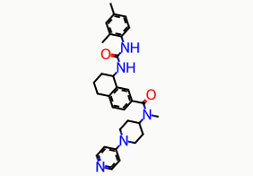 Cc1ccc(NC(=O)NC2CCCc3ccc(C(=O)N(C)C4CCN(c5ccncc5)CC4)cc32)c(C)c1